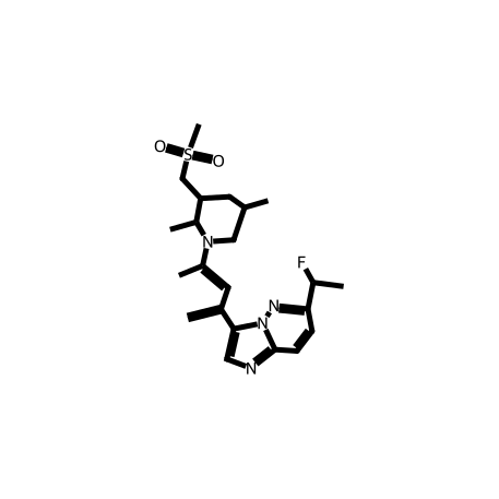 C=C(/C=C(\C)N1CC(C)CC(CS(C)(=O)=O)C1C)c1cnc2ccc(C(C)F)nn12